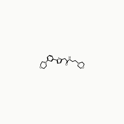 O=C(Cc1ccc(-c2cccc(N3CCOCC3)c2)s1)NCCN1CCOCC1